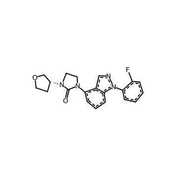 O=C1N(c2cccc3c2cnn3-c2ccccc2F)CCN1[C@@H]1CCOC1